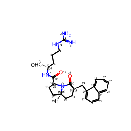 N=C(N)NCCC[C@@H](C=O)NC(=O)[C@@H]1CC[C@@H]2CC[C@H](Cc3cccc4ccccc34)C(=O)N21